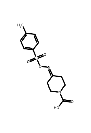 Cc1ccc(S(=O)(=O)ON=C2CCN(C(=O)O)CC2)cc1